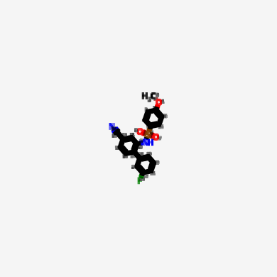 COc1ccc(S(=O)(=O)Nc2cc(C#N)ccc2-c2cccc(F)c2)cc1